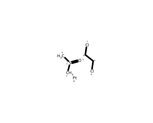 CS(C)=O.ClCCCl.[Pt]